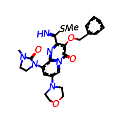 CSC(=N)c1nc2c(N3CCN(C)C3=O)cc(N3CCOCC3)cn2c(=O)c1OCc1ccccc1